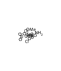 COC(=O)CC(NC(=O)c1cc(Cl)ccc1NS(=O)(=O)c1cccc(N)c1)c1ccc(-c2ccccc2Oc2ccccc2)cc1